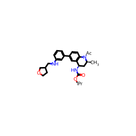 CC(=O)N1c2ccc(-c3cccc(NCC4CCOC4)c3)cc2[C@H](NC(=O)OC(C)C)C[C@@H]1C